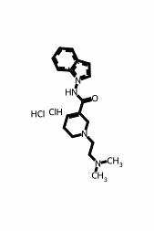 CN(C)CCN1CCC=C(C(=O)Nn2ccc3ccccc32)C1.Cl.Cl